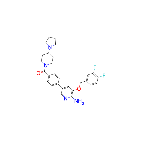 Nc1ncc(-c2ccc(C(=O)N3CCC(N4CCCC4)CC3)cc2)cc1OCc1ccc(F)c(F)c1